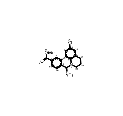 COC(=O)c1ccc(C(C)N2CCCc3cc(Cl)ccc32)cc1